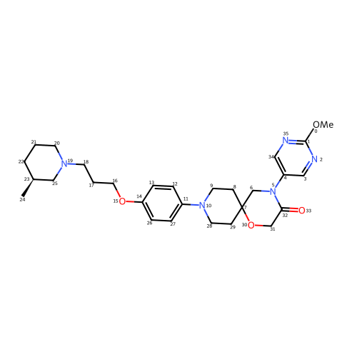 COc1ncc(N2CC3(CCN(c4ccc(OCCCN5CCC[C@H](C)C5)cc4)CC3)OCC2=O)cn1